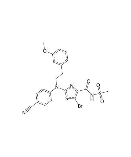 COc1cccc(CCN(c2ccc(C#N)cc2)c2nc(C(=O)NS(C)(=O)=O)c(Br)s2)c1